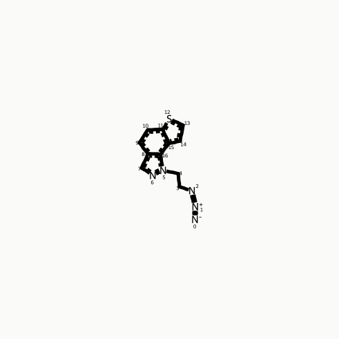 [N-]=[N+]=NCCn1ncc2ccc3sccc3c21